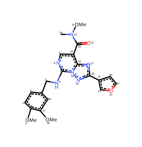 COc1ccc(CNc2ncc(C(=O)N(C)OC)c3nc(-c4ccoc4)nn23)cc1OC